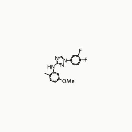 COc1ccc(C)c(Nc2ncn(-c3ccc(F)c(F)c3)n2)c1